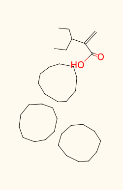 C1CCCCCCCCC1.C1CCCCCCCCC1.C1CCCCCCCCC1.C=C(C(=O)O)C(CC)CC